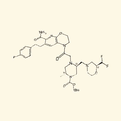 C[C@@H]1CN(CC(=O)N2CCOc3nc(C(N)=O)c(CCc4ccc(F)cc4)cc32)[C@@H](CN2CCO[C@H](C(F)F)C2)CN1C(=O)OC(C)(C)C